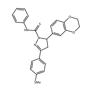 CSc1ccc(C2=NN(C(=S)Nc3ccccc3)C(c3ccc4c(c3)OCCO4)C2)cc1